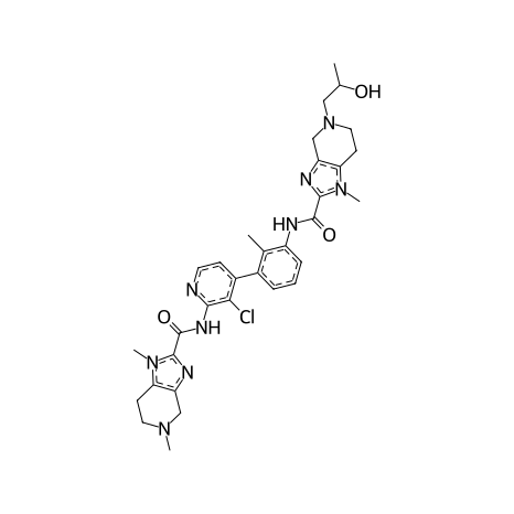 Cc1c(NC(=O)c2nc3c(n2C)CCN(CC(C)O)C3)cccc1-c1ccnc(NC(=O)c2nc3c(n2C)CCN(C)C3)c1Cl